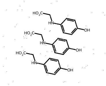 O=C(O)CNc1ccc(O)cc1.O=C(O)CNc1ccc(O)cc1.O=C(O)CNc1ccc(O)cc1